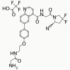 N#C[C@@H]1CC(F)(F)CN1C(=O)CNC(=O)c1ccnc2ccc(-c3ccc(OCCNC(=O)CN)cc3)cc12.O=C(O)C(F)(F)F